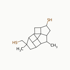 CC1C2CC(S)C3CC4C5C6C7C(CC6(C)CS)C1C75C324